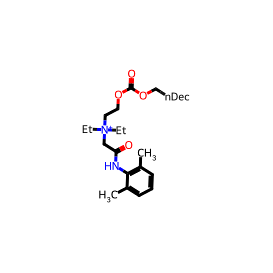 CCCCCCCCCCCOC(=O)OCC[N+](CC)(CC)CC(=O)Nc1c(C)cccc1C